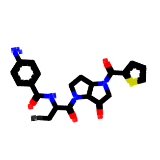 CC(C)CC(NC(=O)c1ccc(N)cc1)C(=O)N1CCC2C1C(=O)CN2C(=O)c1cccs1